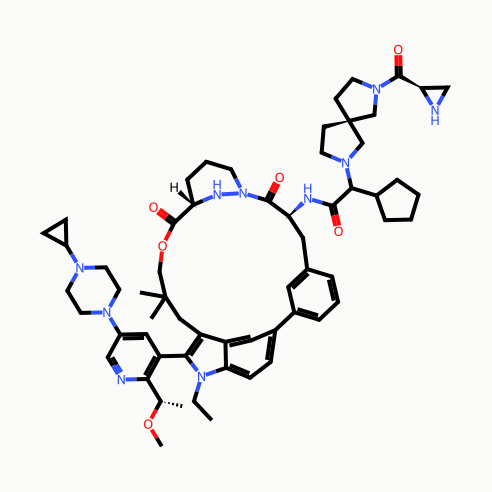 CCn1c(-c2cc(N3CCN(C4CC4)CC3)cnc2[C@H](C)OC)c2c3cc(ccc31)-c1cccc(c1)C[C@H](NC(=O)C(C1CCCC1)N1CC[C@]3(CCN(C(=O)[C@H]4CN4)C3)C1)C(=O)N1CCC[C@H](N1)C(=O)OCC(C)(C)C2